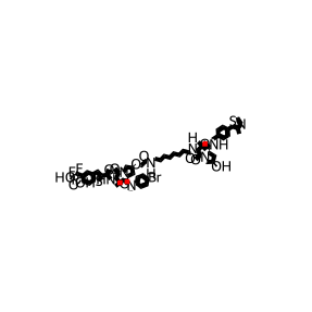 Cc1ncsc1-c1ccc(CNC(=O)[C@@H]2C[C@@H](O)CN2C(=O)[C@@H](NC(=O)CCCCCCCNC(=O)CO[C@@H]2C[C@@H](C(=O)N(C)c3ccc(Br)cc3)N(C(=O)[C@@H](NC(=O)c3cc4cc(C(F)(F)P(=O)(O)O)ccc4s3)C(C)(C)C)C2)C(C)(C)C)cc1